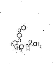 C=CC(=O)NCc1cccc(-c2c(Oc3ccc(Oc4ccccc4)cc3)ccnc2N)c1